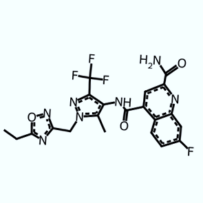 CCc1nc(Cn2nc(C(F)(F)F)c(NC(=O)c3cc(C(N)=O)nc4cc(F)ccc34)c2C)no1